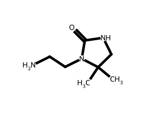 CC1(C)CNC(=O)N1CCN